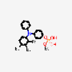 CCOP(=O)(O)O.CCc1ccc(N(c2ccccc2)c2ccccc2)c(CC)c1CC